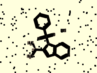 C[C@@H](N)c1cc2cnccc2n1S(=O)(=O)c1ccccc1.Cl